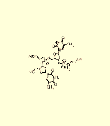 Cc1cn([C@H]2CC(OP(C)(=O)OCCC#N)[C@@H](COP(=O)(OCCC#N)OC3C[C@H](n4cc(C)c(=O)[nH]c4=O)O[C@@H]3CO)O2)c(=O)[nH]c1=O